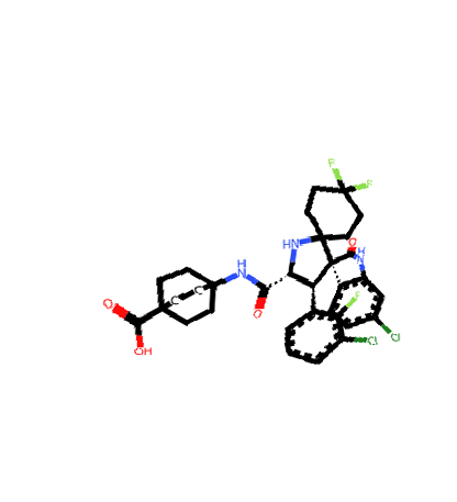 O=C(NC12CCC(C(=O)O)(CC1)CC2)[C@@H]1NC2(CCC(F)(F)CC2)[C@@]2(C(=O)Nc3cc(Cl)ccc32)[C@H]1c1cccc(Cl)c1F